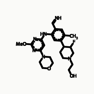 COc1nc(Nc2cc(C3CCN(CCO)CC3F)c(C)cc2C=N)cc(N2CCOCC2)n1